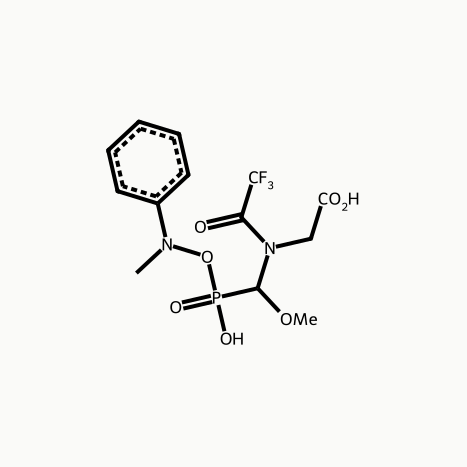 COC(N(CC(=O)O)C(=O)C(F)(F)F)P(=O)(O)ON(C)c1ccccc1